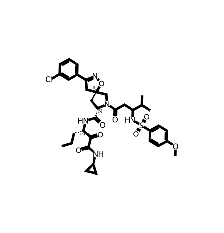 CCC[C@H](NC(=O)[C@@H]1C[C@]2(CC(c3cccc(Cl)c3)=NO2)CN1C(=O)CC(NS(=O)(=O)c1ccc(OC)cc1)C(C)C)C(=O)C(=O)NC1CC1